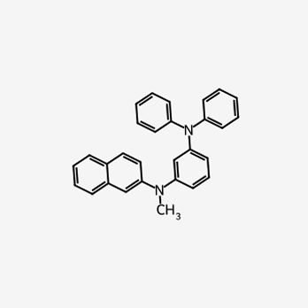 CN(c1cccc(N(c2ccccc2)c2ccccc2)c1)c1ccc2ccccc2c1